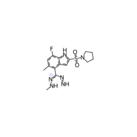 CN/N=C(\N=N)c1c(C)cc(F)c2[nH]c(S(=O)(=O)N3CCCC3)cc12